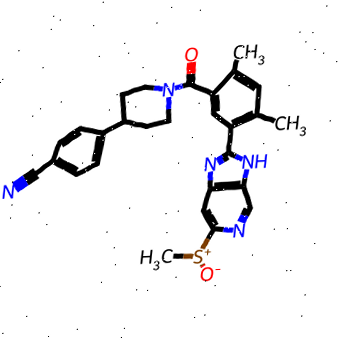 Cc1cc(C)c(-c2nc3cc([S+](C)[O-])ncc3[nH]2)cc1C(=O)N1CCC(c2ccc(C#N)cc2)CC1